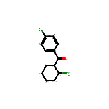 O=C(c1ccc(Cl)cc1)C1CCCCC1Br